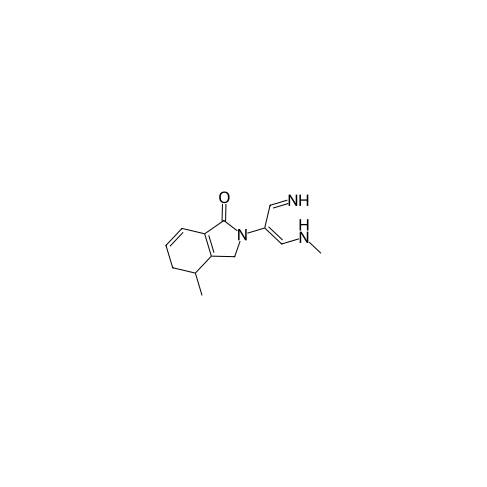 CN/C=C(\C=N)N1CC2=C(C=CCC2C)C1=O